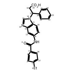 CCc1ccc(C(=O)Nc2ccc3c(c2)ncn3C(CC(=O)O)c2ccccc2)cc1